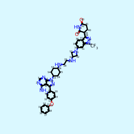 Nc1ncnc2c1c(-c1ccc(Oc3ccccc3)cc1)nn2C1CCC(NCCNC2CN(c3ccc4c(C5CCC(=O)NC5=O)nn(C(F)(F)F)c4c3)C2)CC1